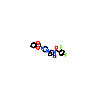 CC(CNC(=O)c1ccc(F)cc1F)N1CCN(C2COc3ccccc3O2)CC1